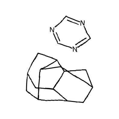 C1C2CC3C4CC5CC(C14)C(C2)C3C5.c1ncncn1